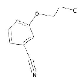 N#Cc1c[c]cc(OCCCl)c1